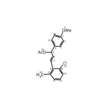 COc1ccc(C(/C=C/c2c(C)cccc2Cl)OC(C)=O)cc1